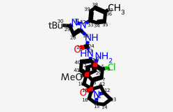 COc1cc(N)c(Cl)cc1C(=O)N1C2CCC1CC(Cc1ccc(NC(=O)Nc3cc(C(C)(C)C)nn3-c3ccc(C)cc3)cc1)C2